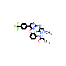 C=CC(=O)Nc1cccc(Oc2nc(Nc3cn(C)nc3Cl)ncc2-c2ccc(C(F)(F)F)cc2)c1